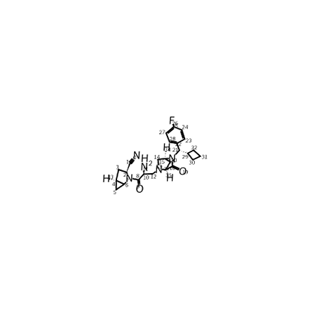 N#C[C@@H]1C[C@@H]2CC2N1C(=O)[C@@H](N)CN1C[C@@H]2C[C@H]1C(=O)N2[C@H](c1ccc(F)cc1)C1CCC1